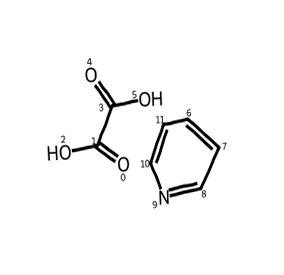 O=C(O)C(=O)O.c1ccncc1